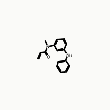 C=CC(=O)N(C)c1cccc(Nc2ccccc2)c1